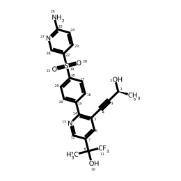 C[C@H](O)C#Cc1cc(C(C)(O)C(F)(F)F)cnc1-c1ccc(S(=O)(=O)c2ccc(N)nc2)cc1